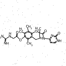 Cc1c(C)c2c(c(C)c1OC(=O)CNC(=N)N)CCC(C)(C(=O)Nc1cc[nH]c(=O)n1)O2